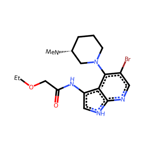 CCOCC(=O)Nc1c[nH]c2ncc(Br)c(N3CCC[C@@H](NC)C3)c12